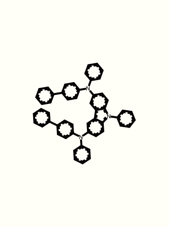 c1ccc(-c2ccc(N(c3ccccc3)c3ccc4c(c3)c3cc(N(c5ccccc5)c5ccc(-c6ccccc6)cc5)ccc3n4-c3ccccc3)cc2)cc1